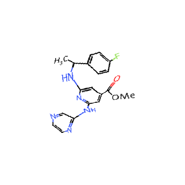 COC(=O)c1cc(Nc2cnccn2)nc(NC(C)c2ccc(F)cc2)c1